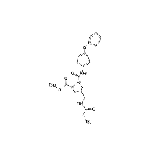 CC(C)(C)OC(=O)NCC1C[C@@H](C(=O)Nc2ccc(Oc3ccccc3)cc2)N(C(=O)OC(C)(C)C)C1